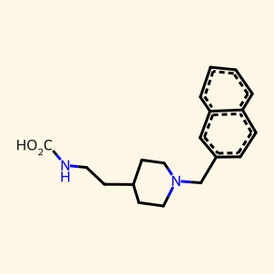 O=C(O)NCCC1CCN(Cc2ccc3ccccc3c2)CC1